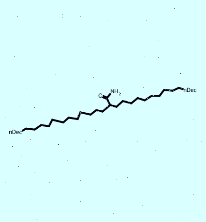 CCCCCCCCCCCCCCCCCCCCCCC(CCCCCCCCCCCCCCCCCCCC)C(N)=O